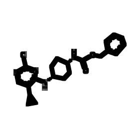 O=C(N[C@H]1CC[C@@H](Nc2nc(Cl)ncc2C2CC2)CC1)OCc1ccccc1